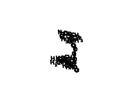 CN[C@@H](C)C(=O)N[C@H](C(=O)N1CCCC1C(=O)N[C@H]1c2ccccc2C[C@H]1OCCOCCOCCOc1ccc(C(=O)N[C@H]2C(C)(C)[C@H](Oc3ccc(C#N)c(Cl)c3)C2(C)C)cc1)C(C)(C)C